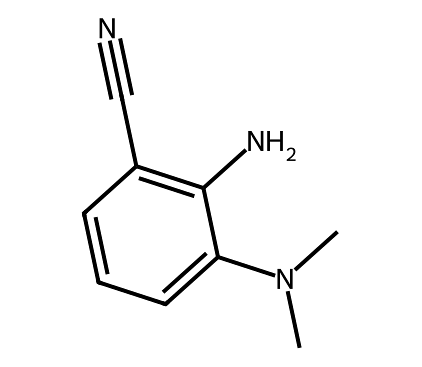 CN(C)c1cccc(C#N)c1N